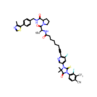 Cc1ncsc1-c1ccc(CNC(=O)C2CCCN2C(=O)C(NC(=O)CCCCCC#Cc2ncc(N3C(=S)N(c4ccc(C#N)c(C(F)(F)F)c4F)C(=O)C3(C)C)cc2F)C(C)(C)C)cc1